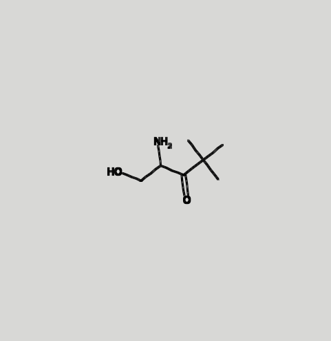 CC(C)(C)C(=O)C(N)CO